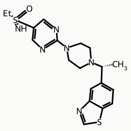 CC[S@](=N)(=O)c1cnc(N2CCN([C@H](C)c3ccc4scnc4c3)CC2)nc1